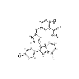 NC(=O)c1cc(Cn2cc(-c3c(-c4ccc(Cl)cc4)nc4c(F)cccn34)nn2)ccc1Cl